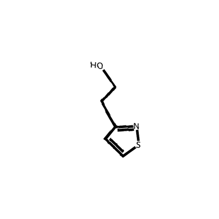 OCCc1ccsn1